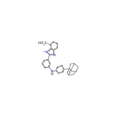 Cn1c(-c2cccc(Nc3ccc(C45CC6CC(CC(C6)C4)C5)cc3)c2)nc2cccc(C(=O)O)c21